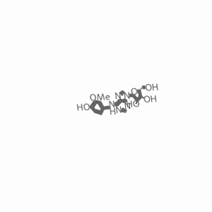 COc1cc(CNc2ncnc3c2ncn3C2O[C@H](CO)[C@@H](O)[C@H]2O)ccc1O